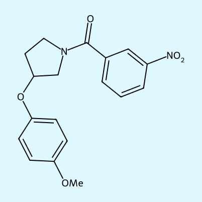 COc1ccc(OC2CCN(C(=O)c3cccc([N+](=O)[O-])c3)C2)cc1